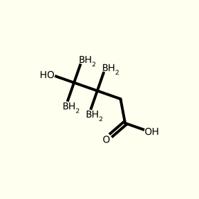 BC(B)(O)C(B)(B)CC(=O)O